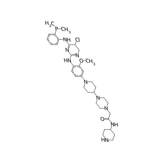 COc1cc(N2CCC(N3CCN(CC(=O)NC4CCNCC4)CC3)CC2)ccc1NC1=NCC(Cl)C(Nc2ccccc2P(C)C)=N1